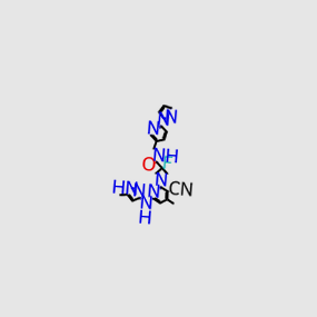 Cc1cc(Nc2cc(C)c(C#N)c(N3CC(F)(C(=O)NCc4ccc(-n5cccn5)nc4)C3)n2)n[nH]1